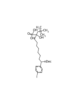 CCCCCCCCCCC(CCCCCCCC(O)(C[N+](C)(C)C)P(=O)(O)O)c1ccc(I)cc1